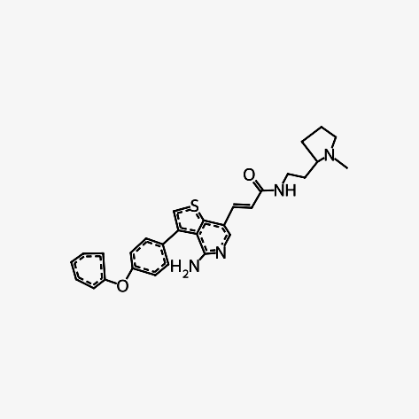 CN1CCCC1CCNC(=O)/C=C/c1cnc(N)c2c(-c3ccc(Oc4ccccc4)cc3)csc12